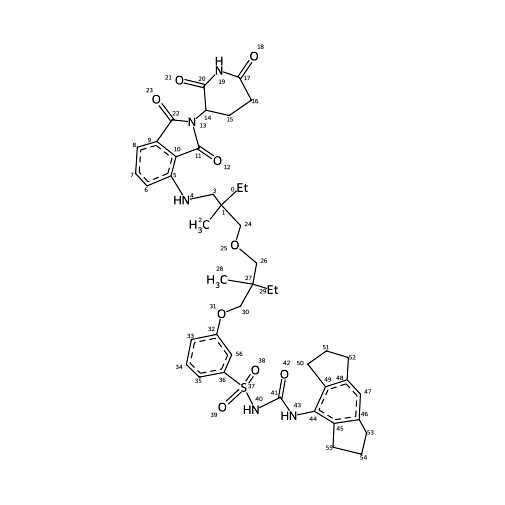 CCC(C)(CNc1cccc2c1C(=O)N(C1CCC(=O)NC1=O)C2=O)COCC(C)(CC)COc1cccc(S(=O)(=O)NC(=O)Nc2c3c(cc4c2CCC4)CCC3)c1